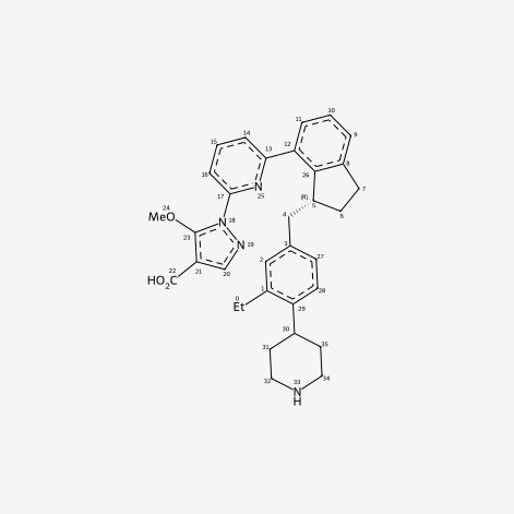 CCc1cc(C[C@H]2CCc3cccc(-c4cccc(-n5ncc(C(=O)O)c5OC)n4)c32)ccc1C1CCNCC1